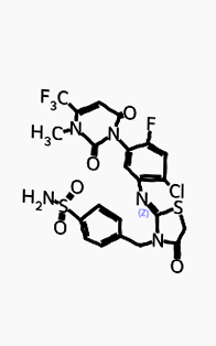 Cn1c(C(F)(F)F)cc(=O)n(-c2cc(/N=C3\SCC(=O)N3Cc3ccc(S(N)(=O)=O)cc3)c(Cl)cc2F)c1=O